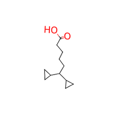 O=C(O)CCCCC(C1CC1)C1CC1